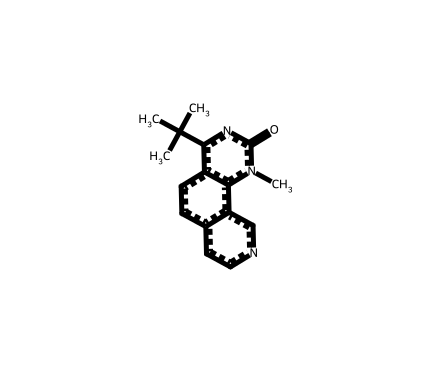 Cn1c(=O)nc(C(C)(C)C)c2ccc3ccncc3c21